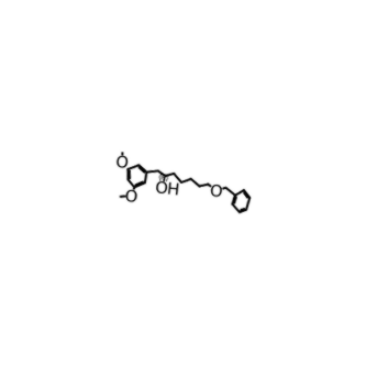 COc1cc(C[C@H](O)CCCCCOCc2ccccc2)cc(OC)c1